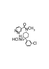 CN(C(=O)c1ccnnc1)[C@H]1CC[C@@](CN)(c2cccc(Cl)c2)CC1.Cl